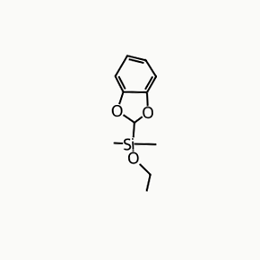 CCO[Si](C)(C)C1Oc2ccccc2O1